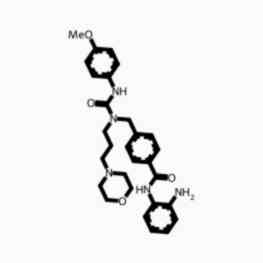 COc1ccc(NC(=O)N(CCCN2CCOCC2)Cc2ccc(C(=O)Nc3ccccc3N)cc2)cc1